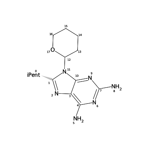 CCC[C@@H](C)c1nc2c(N)nc(N)nc2n1C1CCCCO1